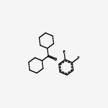 Fc1ccccc1F.O=C(C1CCCCC1)C1CCCCC1